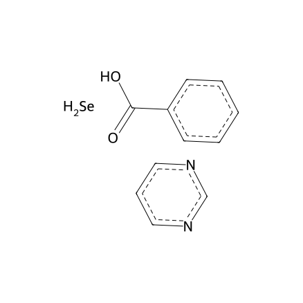 O=C(O)c1ccccc1.[SeH2].c1cncnc1